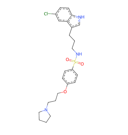 O=S(=O)(NCCCc1c[nH]c2ccc(Cl)cc12)c1ccc(OCCCN2CCCC2)cc1